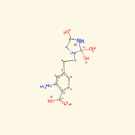 Nc1cc(CCN2CC(O)NS2(O)O)ccc1C(=O)O